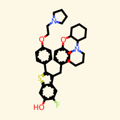 Oc1cc2sc(-c3ccc(OCCN4CCCC4)cc3)c(Cc3ccc(OC4CCCCC4N4CCCCC4)cc3)c2cc1F